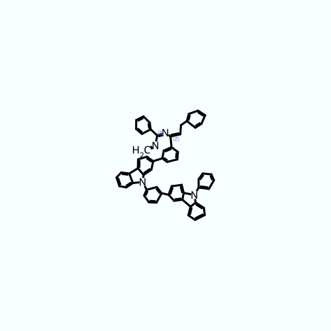 C=N/C(=N\C(=C/Cc1ccccc1)c1cccc(-c2ccc3c4ccccc4n(-c4cccc(-c5ccc6c(c5)c5ccccc5n6-c5ccccc5)c4)c3c2)c1)c1ccccc1